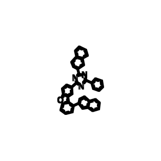 c1ccc(-c2nc(-c3ccc4ccccc4c3)nc(-c3ccc4oc5cccc(-c6ccc7ccccc7c6)c5c4c3)n2)cc1